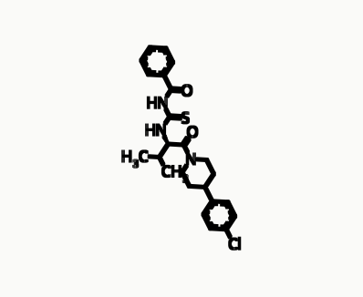 CC(C)[C@@H](NC(=S)NC(=O)c1ccccc1)C(=O)N1CCC(c2ccc(Cl)cc2)CC1